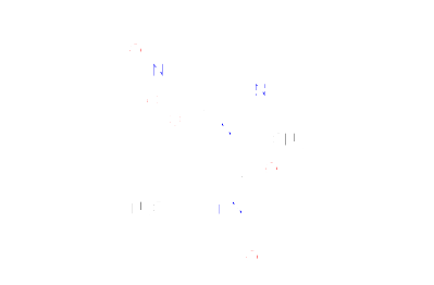 CCCC(C(=O)NC=O)n1c(C)nc2cccc([N+](=O)[O-])c2c1=O